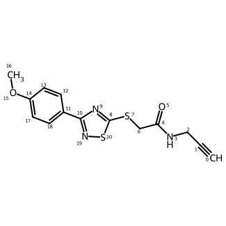 C#CCNC(=O)CSc1nc(-c2ccc(OC)cc2)ns1